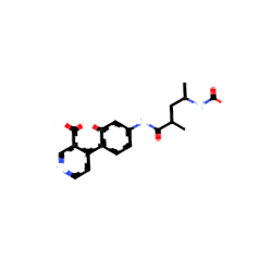 CC(CC(C)C(=O)Nc1ccc2c(c1)oc(=O)c1cnccc12)NC(=O)O